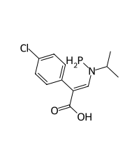 CC(C)N(P)/C=C(/C(=O)O)c1ccc(Cl)cc1